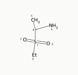 CCS(=O)(=O)[C](C)N